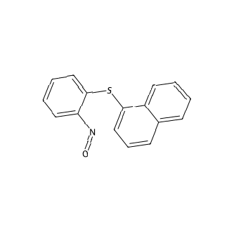 O=Nc1ccccc1Sc1cccc2ccccc12